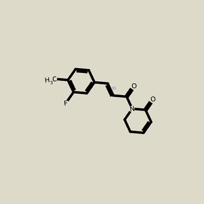 Cc1ccc(/C=C/C(=O)N2CCC=CC2=O)cc1F